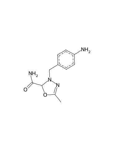 CC1=NN(Cc2ccc(N)cc2)C(C(N)=O)O1